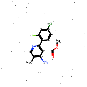 COC=O.COc1cnc(-c2ccc(Cl)cc2F)cc1N